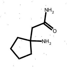 NC(=O)CC1(N)CCCC1